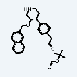 CC(C)(C)OC=O.O=CCc1ccc(C2CCNCC2OCc2ccc3ccccc3c2)cc1